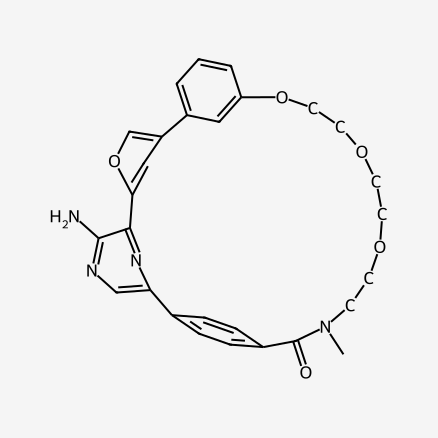 CN1CCOCCOCCOc2cccc(c2)-c2coc(c2)-c2nc(cnc2N)-c2ccc(cc2)C1=O